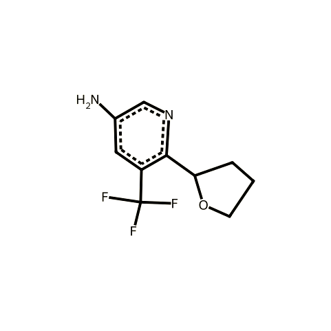 Nc1cnc(C2CCCO2)c(C(F)(F)F)c1